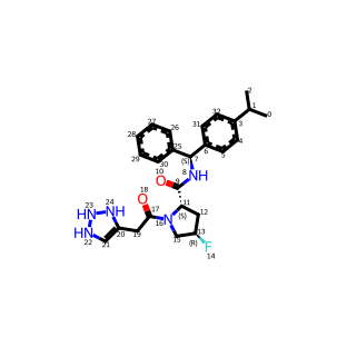 CC(C)c1ccc([C@@H](NC(=O)[C@@H]2C[C@@H](F)CN2C(=O)CC2=CNNN2)c2ccccc2)cc1